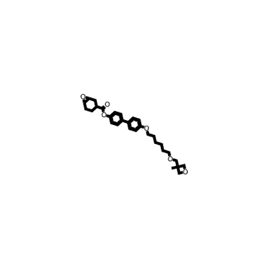 CC1(COCCCCCCOc2ccc(-c3ccc(OC(=O)C4CCC5OC5C4)cc3)cc2)COC1